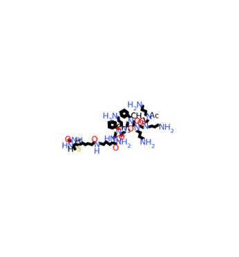 CC(=O)N(CCCCN)CC(=O)N(CCCCN)CC(=O)N(CCCCN)CC(=O)N(CC(=O)N(CCCCN)CC(=O)N(CC(=O)NC(CCCCNC(=O)CCCCC1SC[C@@H]2NC(=O)N[C@H]12)C(N)=O)[C@@H](C)c1ccccc1)[C@@H](C)c1ccccc1